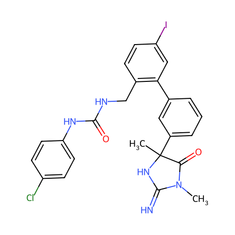 CN1C(=N)NC(C)(c2cccc(-c3cc(I)ccc3CNC(=O)Nc3ccc(Cl)cc3)c2)C1=O